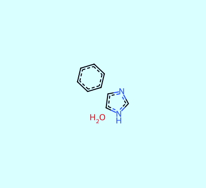 O.c1c[nH]cn1.c1ccccc1